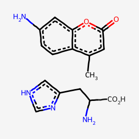 Cc1cc(=O)oc2cc(N)ccc12.NC(Cc1c[nH]cn1)C(=O)O